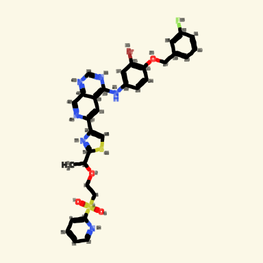 CC(OCCS(=O)(=O)c1ccccn1)c1nc(-c2cc3c(Nc4ccc(OCc5cccc(F)c5)c(Br)c4)ncnc3cn2)cs1